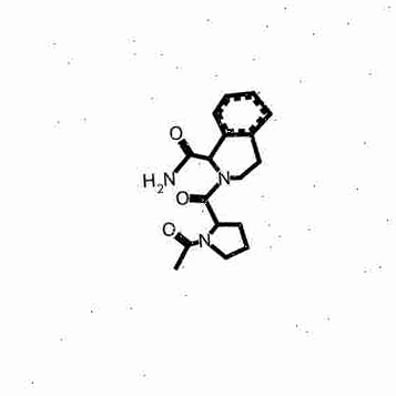 CC(=O)N1CCCC1C(=O)N1CCc2c[c]ccc2C1C(N)=O